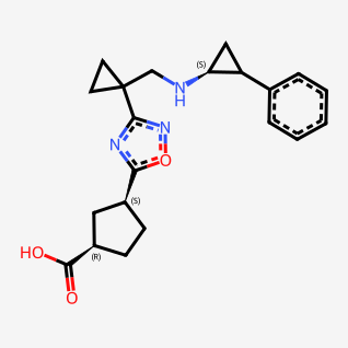 O=C(O)[C@@H]1CC[C@H](c2nc(C3(CN[C@H]4CC4c4ccccc4)CC3)no2)C1